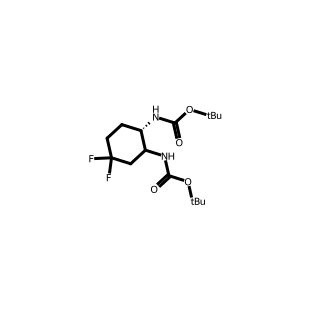 CC(C)(C)OC(=O)NC1CC(F)(F)CC[C@@H]1NC(=O)OC(C)(C)C